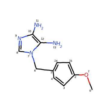 COc1ccc(Cn2cnc(N)c2N)cc1